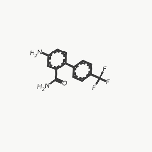 NC(=O)c1cc(N)ccc1-c1ccc(C(F)(F)F)cc1